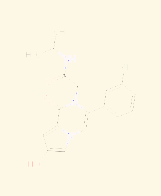 CC(C)NC(=O)Cn1c(-c2cccc(Cl)c2)cn2cc(O)cc2c1=O